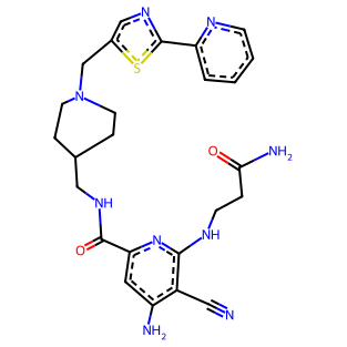 N#Cc1c(N)cc(C(=O)NCC2CCN(Cc3cnc(-c4ccccn4)s3)CC2)nc1NCCC(N)=O